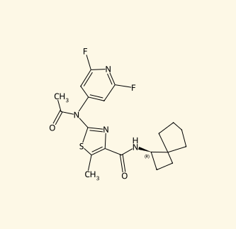 CC(=O)N(c1cc(F)nc(F)c1)c1nc(C(=O)N[C@@H]2CCC23CCCC3)c(C)s1